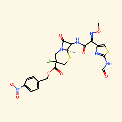 CON=C(C(=O)NC1C(=O)N2CC(Cl)(C(=O)OCc3ccc([N+](=O)[O-])cc3)CS[C@H]12)c1csc(NC=O)n1